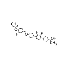 C=CCOc1ccc(COC2CCC(c3ccc(C4CCC(C(C)O)CC4)c(F)c3F)CC2)cc1F